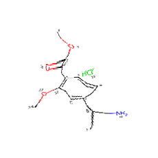 COC(=O)c1ccc(C(C)N)cc1OC.Cl